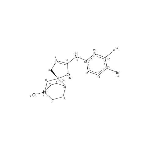 [O-][N+]12CCC(CC1)[C@]1(CN=C(Nc3ccc(Br)c(F)n3)O1)C2